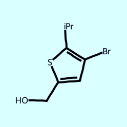 CC(C)c1sc(CO)cc1Br